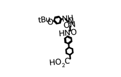 CC(C)(C)Oc1ccc(Nc2nnc(C(=O)Nc3ccc(C4CCC(CC(=O)O)CC4)cc3)o2)cc1